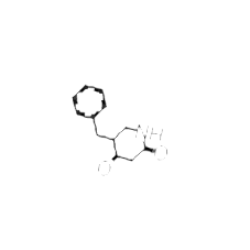 O=C1CC(=O)C(Cc2ccccc2)CN1